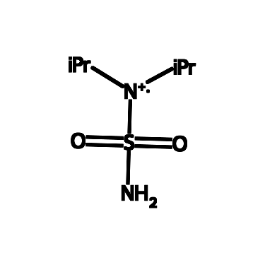 CC(C)[N+](C(C)C)S(N)(=O)=O